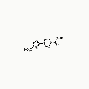 C[C@@H]1CN(c2nc(C(=O)O)cs2)CCN1C(=O)OC(C)(C)C